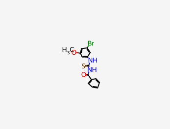 COc1cc(Br)cc(NC(=S)NC(=O)c2ccccc2)c1